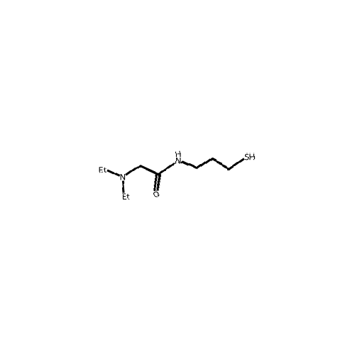 CCN(CC)CC(=O)NCCCS